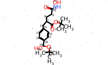 CC(C)(C)OC(=O)C(CCC(=O)NO)Cc1ccc(C(O)OC(C)(C)C)cc1